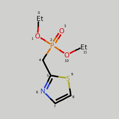 CCOP(=O)(Cc1nccs1)OCC